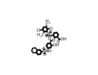 Cc1cc(Cl)c(C)c(S(=O)(=O)Nc2cccc(C(=O)O)c2OC(=O)c2ccc(NS(=O)(=O)c3ccc4c(c3)CCCC4)cc2O)c1Cl